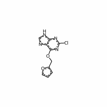 Clc1nc(OCc2ccco2)c2nc[nH]c2n1